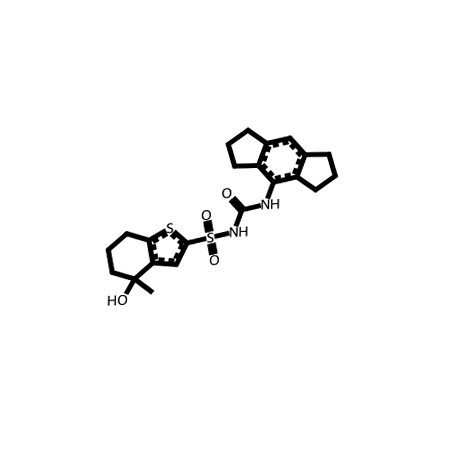 CC1(O)CCCc2sc(S(=O)(=O)NC(=O)Nc3c4c(cc5c3CCC5)CCC4)cc21